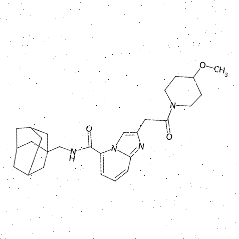 COC1CCN(C(=O)Cc2cn3c(C(=O)NCC45CC6CC(CC(C6)C4)C5)cccc3n2)CC1